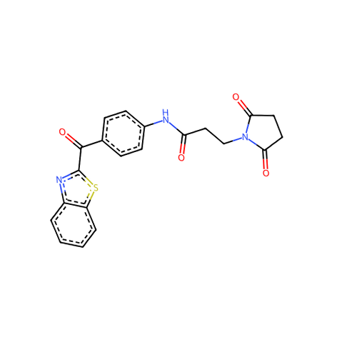 O=C(CCN1C(=O)CCC1=O)Nc1ccc(C(=O)c2nc3ccccc3s2)cc1